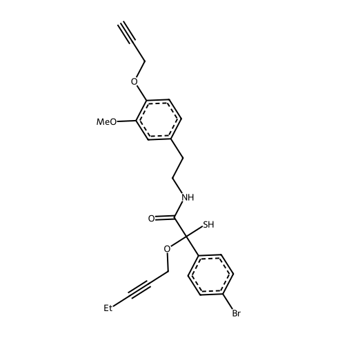 C#CCOc1ccc(CCNC(=O)C(S)(OCC#CCC)c2ccc(Br)cc2)cc1OC